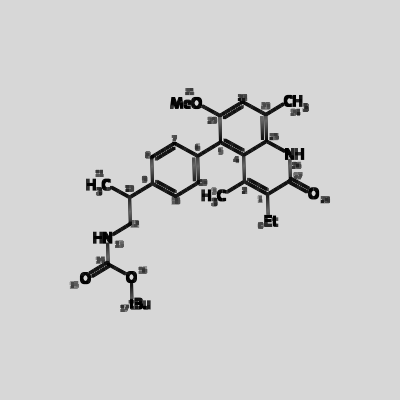 CCc1c(C)c2c(-c3ccc(C(C)CNC(=O)OC(C)(C)C)cc3)c(OC)cc(C)c2[nH]c1=O